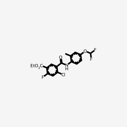 CCOC(=O)c1cc(C(=O)Nc2ccc(OC(F)F)cc2C)c(Cl)cc1F